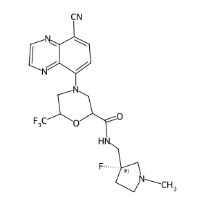 CN1CC[C@@](F)(CNC(=O)C2CN(c3ccc(C#N)c4nccnc34)CC(C(F)(F)F)O2)C1